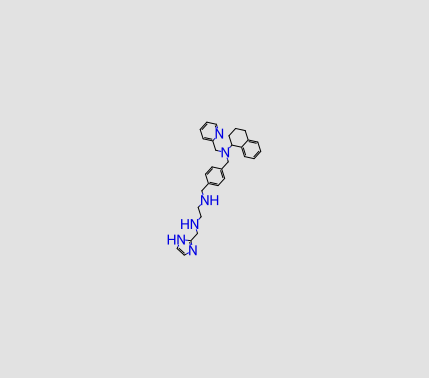 c1ccc(CN(Cc2ccc(CNCCNCc3ncc[nH]3)cc2)C2CCCc3ccccc32)nc1